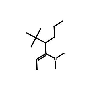 CC=C(C(CCC)C(C)(C)C)N(C)C